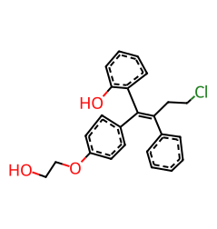 OCCOc1ccc(C(=C(CCCl)c2ccccc2)c2ccccc2O)cc1